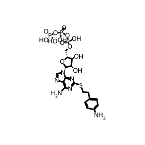 Nc1ccc(CCSc2nc(N)c3ncn([C@@H]4O[C@H](COP(=O)(O)OP(=O)(O)OP(=O)(O)O)[C@@H](O)[C@H]4O)c3n2)cc1